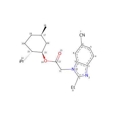 CCc1nc2ccc(C#N)cc2n1CC(=O)O[C@@H]1C[C@H](C)CC[C@H]1C(C)C